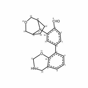 O=Cc1ccc(-c2cccc3c2OCNC3)cc1N1C2CCC1COC2